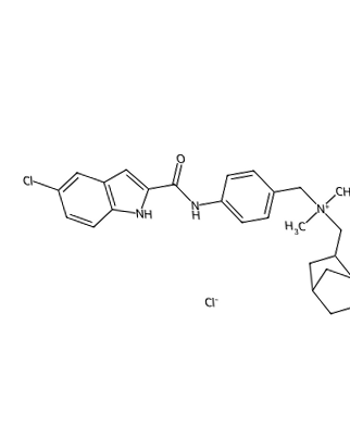 C[N+](C)(Cc1ccc(NC(=O)c2cc3cc(Cl)ccc3[nH]2)cc1)CC1CC2CCC1C2.[Cl-]